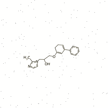 Cc1nccn1CC(O)COC1=CC(c2ccccc2)=CCC1